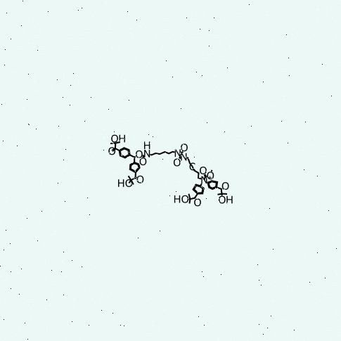 COC(=O)[N+](CCCCCCN1C(=O)N(CCCCCCNC(=O)OC(c2ccc(C(=O)C(C)(C)O)cc2)c2ccc(C(=O)C(C)(C)O)cc2)C1=O)(c1ccc(C(=O)C(C)(C)O)cc1)c1ccc(C(=O)C(C)(C)O)cc1